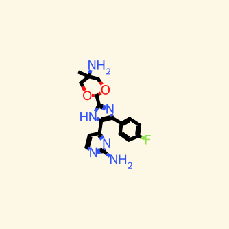 CC1(N)COC(c2nc(-c3ccc(F)cc3)c(-c3ccnc(N)n3)[nH]2)OC1